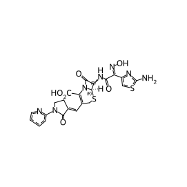 Nc1nc(C(=NO)C(=O)N[C@@H]2C(=O)N3C(C(=O)O)=C(C=C4CCN(c5ccccn5)C4=O)CS[C@H]23)cs1